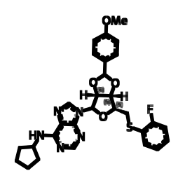 COc1ccc(C2O[C@@H]3[C@@H](CSc4ccccc4F)OC(n4cnc5c(NC6CCCC6)ncnc54)[C@@H]3O2)cc1